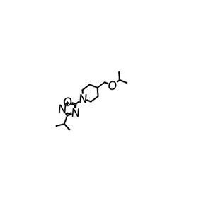 CC(C)OCC1CCN(c2nc(C(C)C)no2)CC1